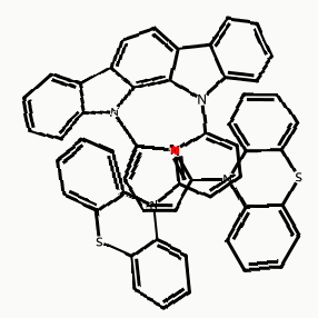 c1cc(N2c3ccccc3Sc3ccccc32)nc(-n2c3ccccc3c3ccc4c5ccccc5n(-c5cccc(N6c7ccccc7Sc7ccccc76)n5)c4c32)c1